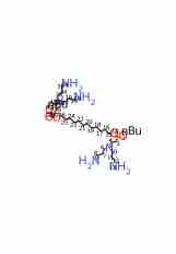 CCCCOP(CCN(CCCN)CCCN)OCCCCCCCCCCCCOP(=O)(CCN(CCCN)CCCN)OCCCC